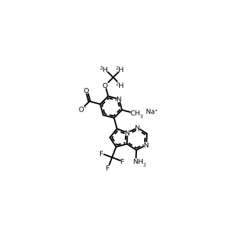 [2H]C([2H])([2H])Oc1nc(C)c(-c2cc(C(F)(F)F)c3c(N)ncnn23)cc1C(=O)[O-].[Na+]